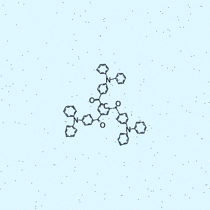 O=C(c1ccc(N(c2ccccc2)c2ccccc2)cc1)c1cc(C(=O)c2ccc(N(c3ccccc3)c3ccccc3)cc2)cc(C(=O)c2ccc(N(c3ccccc3)c3ccccc3)cc2)c1